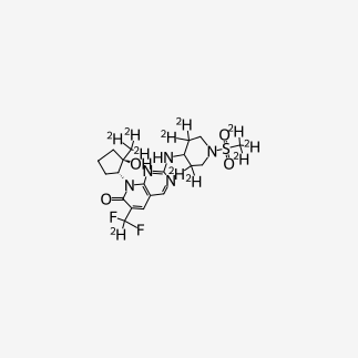 [2H]C(F)(F)c1cc2cnc(NC3C([2H])([2H])CN(S(=O)(=O)C([2H])([2H])[2H])CC3([2H])[2H])nc2n([C@@H]2CCC[C@]2(O)C([2H])([2H])[2H])c1=O